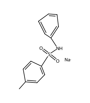 Cc1ccc(S(=O)(=O)Nc2ccccc2)cc1.[Na]